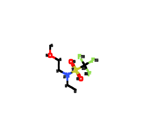 CCN(CCOC)S(=O)(=O)C(F)(F)F